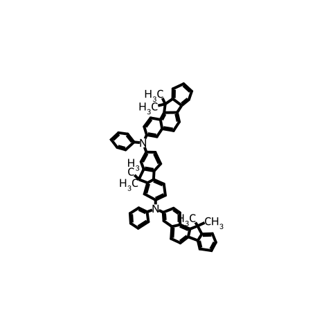 CC1(C)c2cc(N(c3ccccc3)c3ccc4c5c(ccc4c3)-c3ccccc3C5(C)C)ccc2-c2ccc(N(c3ccccc3)c3ccc4c5c(ccc4c3)-c3ccccc3C5(C)C)cc21